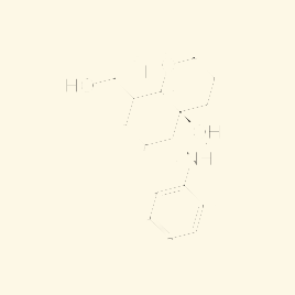 OCC1CC[C@@H](Nc2ccccc2)[C@@]2(O)CCCO[C@H]12